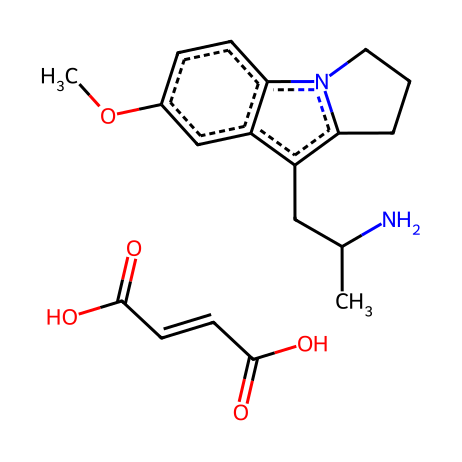 COc1ccc2c(c1)c(CC(C)N)c1n2CCC1.O=C(O)C=CC(=O)O